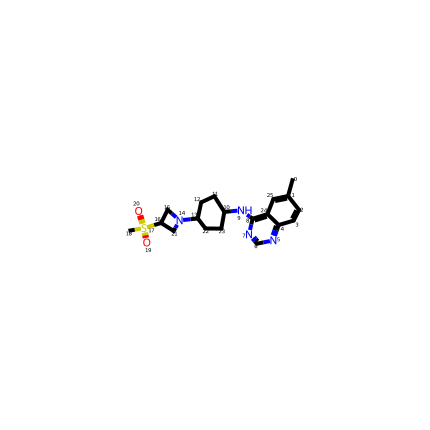 Cc1ccc2ncnc(NC3CCC(N4CC(S(C)(=O)=O)C4)CC3)c2c1